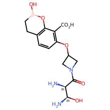 N[C@H](O)[C@@H](N)C(=O)N1CC(Oc2ccc3c(c2C(=O)O)OB(O)CC3)C1